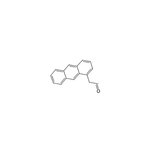 O=[C]Cc1cccc2cc3ccccc3cc12